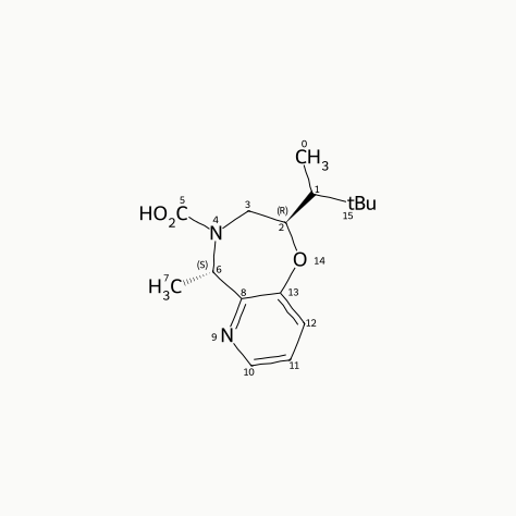 CC([C@@H]1CN(C(=O)O)[C@@H](C)c2ncccc2O1)C(C)(C)C